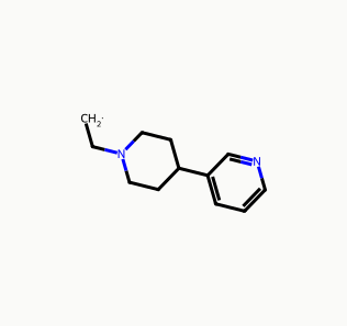 [CH2]CN1CCC(c2cccnc2)CC1